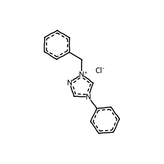 [Cl-].c1ccc(C[n+]2cn(-c3ccccc3)cn2)cc1